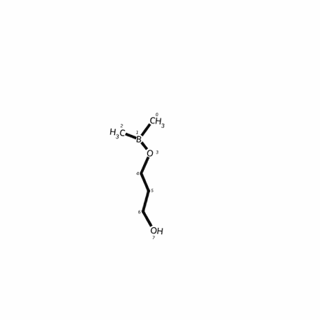 CB(C)OCCCO